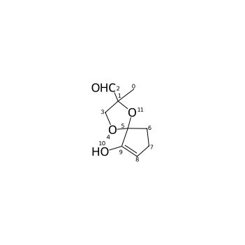 CC1(C=O)COC2(CCC=C2O)O1